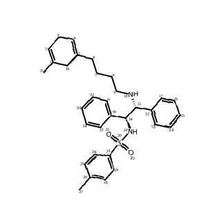 CC1=CCC=C(CCCCN[C@H](c2ccccc2)[C@@H](NS(=O)(=O)c2ccc(C)cc2)c2ccccc2)C1